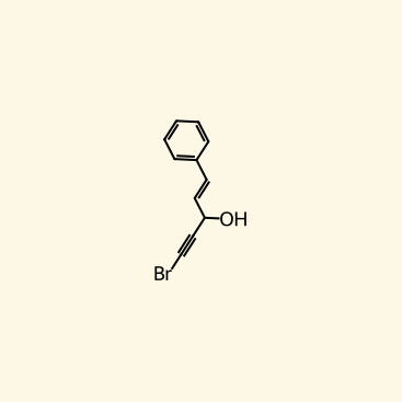 OC(C#CBr)/C=C/c1ccccc1